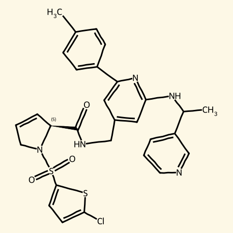 Cc1ccc(-c2cc(CNC(=O)[C@@H]3C=CCN3S(=O)(=O)c3ccc(Cl)s3)cc(NC(C)c3cccnc3)n2)cc1